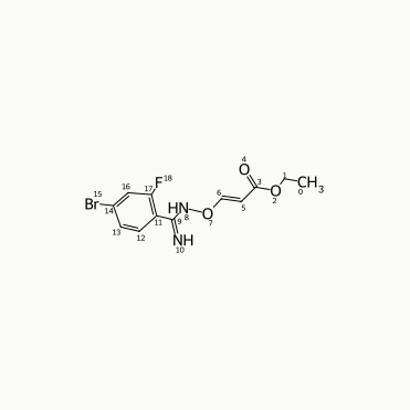 CCOC(=O)C=CONC(=N)c1ccc(Br)cc1F